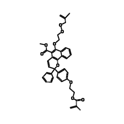 C=C(C)COOCCOc1c(C(=O)OC)c2c(c3ccccc13)OC(c1ccccc1)(c1ccc(OCCOC(=O)C(=C)C)cc1)C=C2